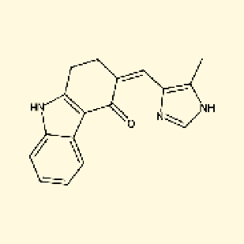 Cc1[nH]cnc1/C=C1/CCc2[nH]c3ccccc3c2C1=O